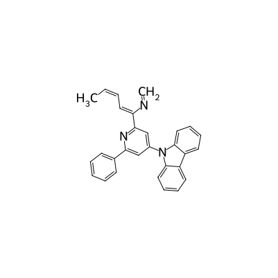 C=N/C(=C\C=C/C)c1cc(-n2c3ccccc3c3ccccc32)cc(-c2ccccc2)n1